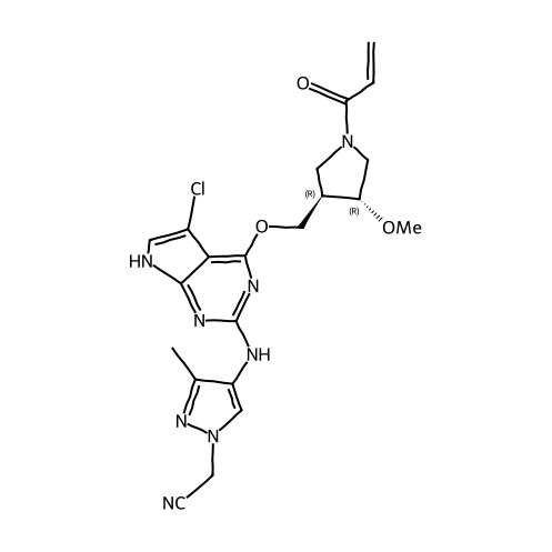 C=CC(=O)N1C[C@H](COc2nc(Nc3cn(CC#N)nc3C)nc3[nH]cc(Cl)c23)[C@@H](OC)C1